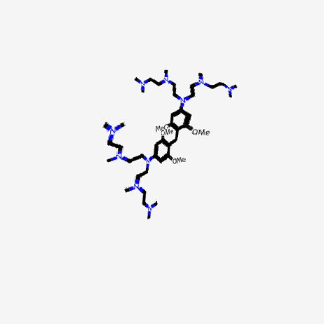 COc1cc(N(CCN(C)CCN(C)C)CCN(C)CCN(C)C)cc(OC)c1Cc1c(OC)cc(N(CCN(C)CCN(C)C)CCN(C)CCN(C)C)cc1OC